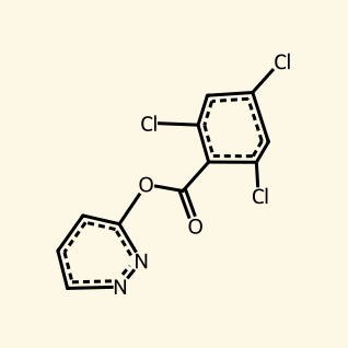 O=C(Oc1cccnn1)c1c(Cl)cc(Cl)cc1Cl